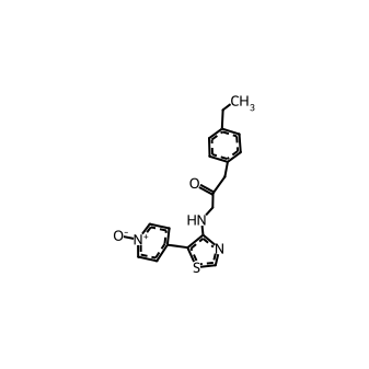 CCc1ccc(CC(=O)CNc2ncsc2-c2cc[n+]([O-])cc2)cc1